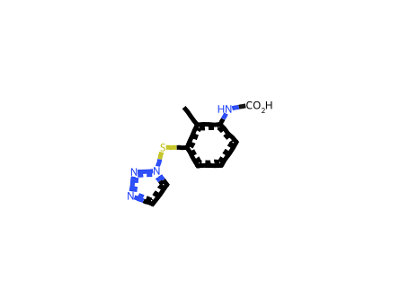 Cc1c(NC(=O)O)cccc1Sn1ccnn1